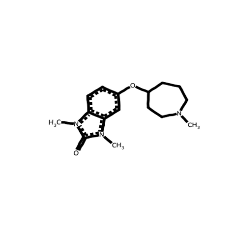 CN1CCCC(Oc2ccc3c(c2)n(C)c(=O)n3C)CC1